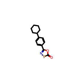 O=c1oc(-c2ccc(C3CCCCC3)cc2)ns1